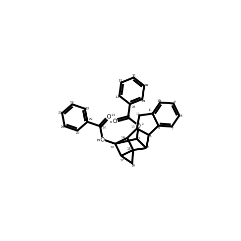 O=C(OC1C2C3c4ccccc4CC3C3C24CC4C13OC(=O)c1ccccc1)c1ccccc1